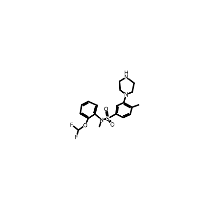 Cc1ccc(S(=O)(=O)N(C)c2ccccc2OC(F)F)cc1N1CCNCC1